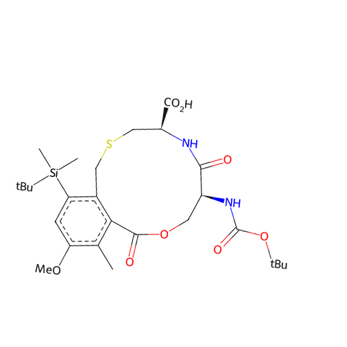 COc1cc([Si](C)(C)C(C)(C)C)c2c(c1C)C(=O)OC[C@H](NC(=O)OC(C)(C)C)C(=O)N[C@H](C(=O)O)CSC2